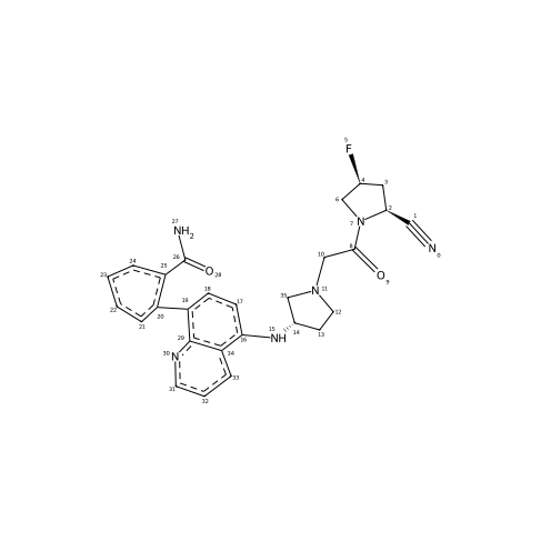 N#C[C@@H]1C[C@H](F)CN1C(=O)CN1CC[C@H](Nc2ccc(-c3ccccc3C(N)=O)c3ncccc23)C1